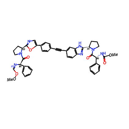 COO/C=N\[C@@H](C(=O)N1CCC[C@H]1c1ncc(-c2ccc(C#Cc3ccc4nc([C@@H]5CCCN5C(=O)[C@H](NC(=O)OC)c5ccccc5)[nH]c4c3)cc2)o1)c1ccccc1